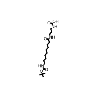 CC(C)(C)OC(=O)NCCCCCCCCCC(=O)NCCCNC(=O)O